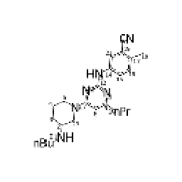 CCCCNC1CCCN(c2cc(CCC)nc(Nc3ccc(C)c(C#N)c3)n2)C1